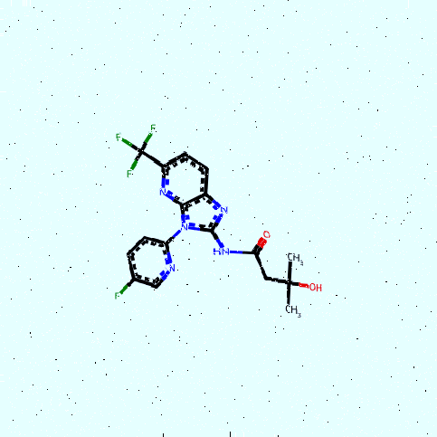 CC(C)(O)CC(=O)Nc1nc2ccc(C(F)(F)F)nc2n1-c1ccc(F)cn1